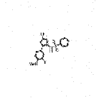 CNc1ccc(-c2cc(C(F)(F)F)nn2NS(=O)(=O)c2ccccc2)cc1F